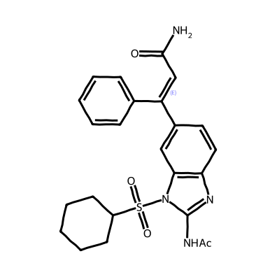 CC(=O)Nc1nc2ccc(/C(=C/C(N)=O)c3ccccc3)cc2n1S(=O)(=O)C1CCCCC1